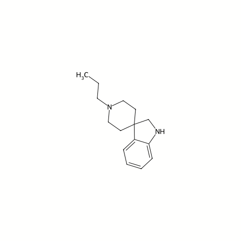 CCCN1CCC2(CC1)CNc1ccccc12